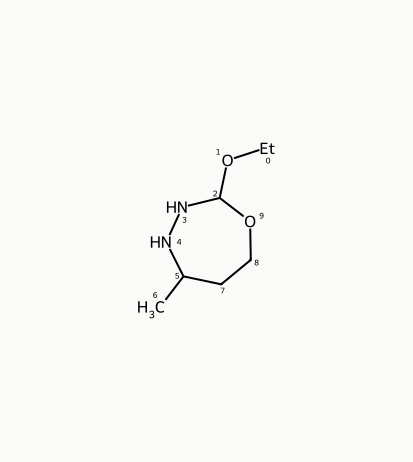 CCOC1NNC(C)CCO1